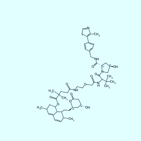 Cc1ncsc1-c1ccc(CNC(=O)[C@@H]2C[C@@H](O)CN2C(=O)C(NC(=O)COCCNC(=O)CCC(C)(C)C(=O)OC2CC(C)C=C3C=CC(C)C(CC[C@@H]4C[C@@H](O)CC(=O)O4)C32)C(C)(C)C)cc1